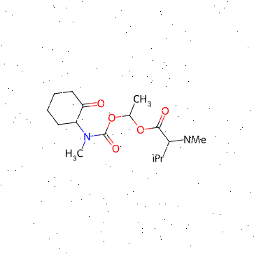 CNC(C(=O)OC(C)OC(=O)N(C)C1CCCCC1=O)C(C)C